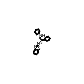 c1ccc(NN=C(N=Nc2nc3ccccc3s2)c2ccccc2)cc1